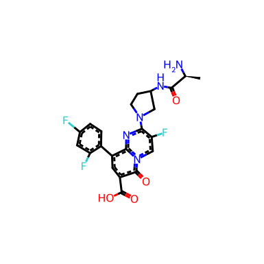 C[C@H](N)C(=O)NC1CCN(c2nc3c(-c4ccc(F)cc4F)cc(C(=O)O)c(=O)n3cc2F)C1